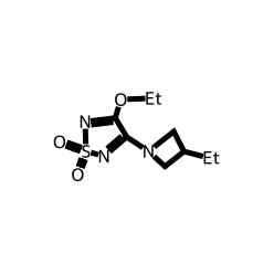 CCOC1=NS(=O)(=O)N=C1N1CC(CC)C1